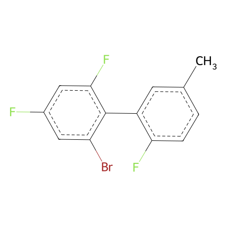 Cc1ccc(F)c(-c2c(F)cc(F)cc2Br)c1